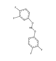 Fc1ccc(OBOc2ccc(F)c(F)c2)cc1F